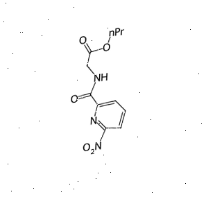 CCCOC(=O)CNC(=O)c1cccc([N+](=O)[O-])n1